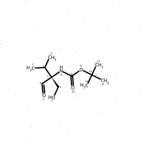 CC(C)[C@](C=O)(CO)NC(=O)OC(C)(C)C